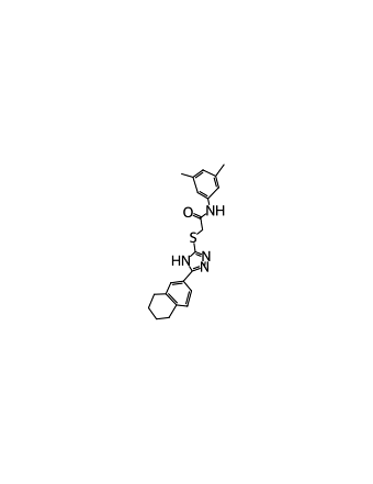 Cc1cc(C)cc(NC(=O)CSc2nnc(-c3ccc4c(c3)CCCC4)[nH]2)c1